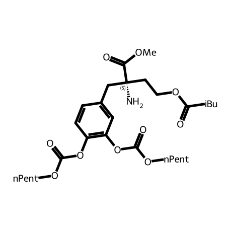 CCCCCOC(=O)Oc1ccc(C[C@](N)(CCOC(=O)C(C)CC)C(=O)OC)cc1OC(=O)OCCCCC